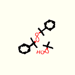 CC(C)(C)OO.CC(C)(OOC(C)(C)c1ccccc1)c1ccccc1